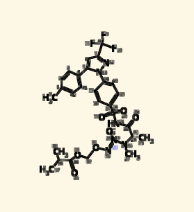 Cc1ccc(-c2cc(C(F)(F)F)nn2-c2ccc(S(=O)(=O)NC(=O)[C@H](C)N(C)/[N+]([O-])=N/OCOC(=O)C(C)C)cc2)cc1